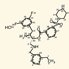 CCc1cccc(CNC[C@@H](OC(=O)c2cccc(S(=O)(=O)N3CCNCC3)c2)[C@@H](N)Cc2cc(F)cc(F)c2)c1.Cl